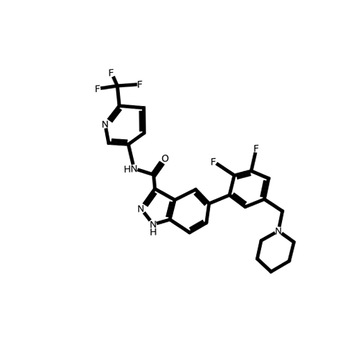 O=C(Nc1ccc(C(F)(F)F)nc1)c1n[nH]c2ccc(-c3cc(CN4CCCCC4)cc(F)c3F)cc12